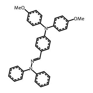 COc1ccc(N(c2ccc(C=NN(c3ccccc3)c3ccccc3)cc2)c2ccc(OC)cc2)cc1